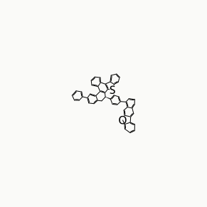 c1ccc(-c2ccc3c(c2)-c2c(c4sc5ccccc5c4c4ccccc24)[C@@H](c2ccc(-c4cccc5cc6c(cc45)oc4ccccc46)cc2)C3)cc1